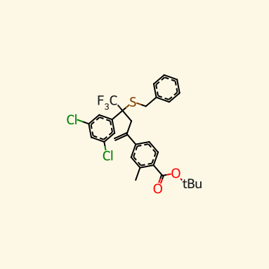 C=C(CC(SCc1ccccc1)(c1cc(Cl)cc(Cl)c1)C(F)(F)F)c1ccc(C(=O)OC(C)(C)C)c(C)c1